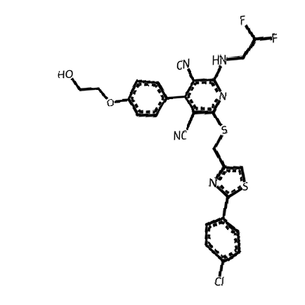 [C-]#[N+]c1c(NCC(F)F)nc(SCc2csc(-c3ccc(Cl)cc3)n2)c(C#N)c1-c1ccc(OCCO)cc1